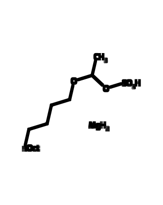 CCCCCCCCCCCCOC(C)OS(=O)(=O)O.[MgH2]